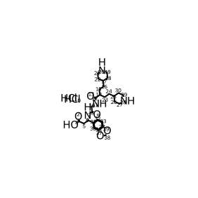 Cl.Cl.O=C(O)CC(NC(=O)CNC(=O)C(CCC1CCNCC1)CCC1CCNCC1)c1ccc2c(c1)OCO2